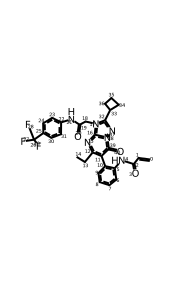 C=CC(=O)Nc1ccccc1-c1c(CC)nc2n(CC(=O)Nc3ccc(C(F)(F)F)cc3)c(C3CCC3)nn2c1=O